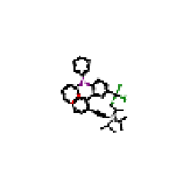 CC(C)[Si](C#Cc1ccccc1-c1cc(C(F)(F)F)ccc1P(c1ccccc1)c1ccccc1)(C(C)C)C(C)C